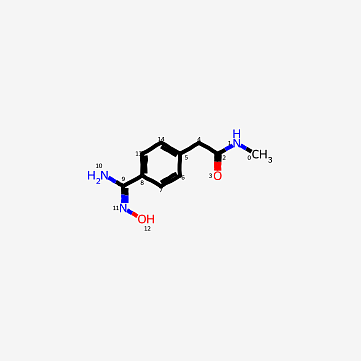 CNC(=O)Cc1ccc(/C(N)=N\O)cc1